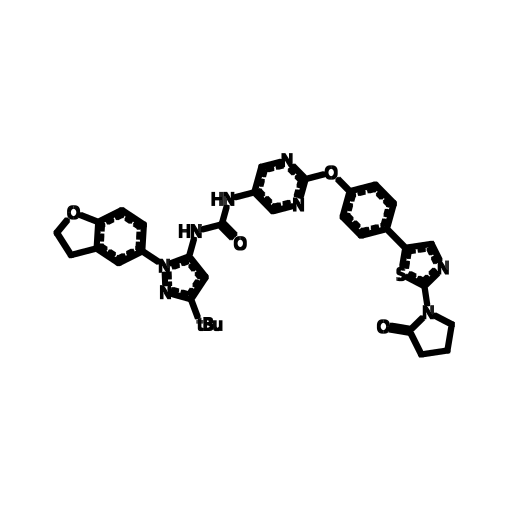 CC(C)(C)c1cc(NC(=O)Nc2cnc(Oc3ccc(-c4cnc(N5CCCC5=O)s4)cc3)nc2)n(-c2ccc3c(c2)CCO3)n1